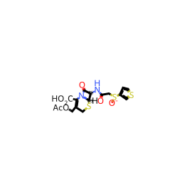 CC(=O)OCC1=C(C(=O)O)N2C(=O)[C@@H](NC(=O)C[S+]([O-])c3ccsc3)[C@H]2SC1